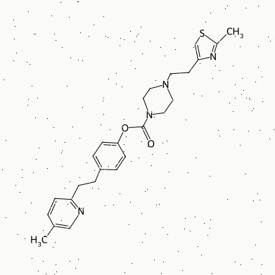 Cc1ccc(CCc2ccc(OC(=O)N3CCN(CCc4csc(C)n4)CC3)cc2)nc1